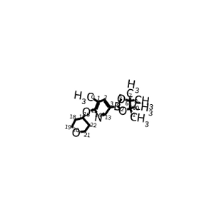 Cc1cc(B2OC(C)(C)C(C)(C)O2)cnc1OC1CCOCC1